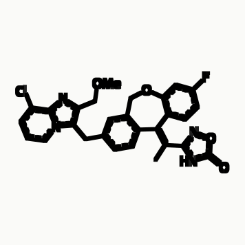 COCc1nc2c(Cl)cccn2c1Cc1ccc2c(c1)COc1cc(F)ccc1/C2=C(/C)c1noc(=O)[nH]1